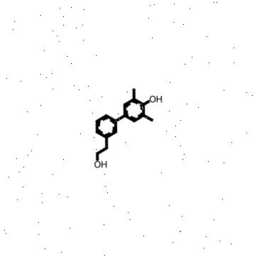 Cc1cc(-c2cccc(CCO)c2)cc(C)c1O